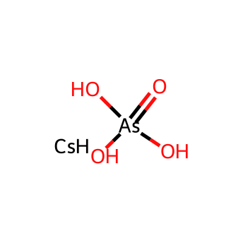 O=[As](O)(O)O.[CsH]